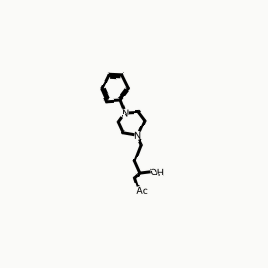 CC(=O)CC(O)CCN1CCN(c2ccccc2)CC1